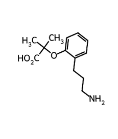 CC(C)(Oc1ccccc1CCCN)C(=O)O